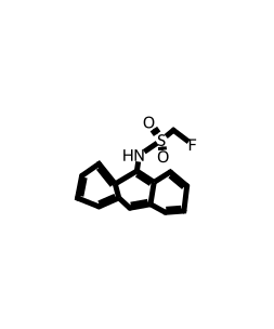 O=S(=O)(CF)Nc1c2ccccc2cc2ccccc12